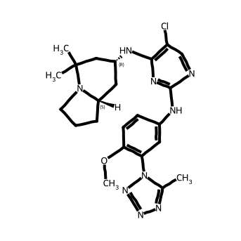 COc1ccc(Nc2ncc(Cl)c(N[C@@H]3C[C@@H]4CCCN4C(C)(C)C3)n2)cc1-n1nnnc1C